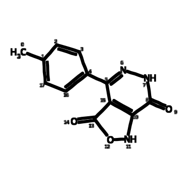 Cc1ccc(-c2n[nH]c(=O)c3[nH]oc(=O)c23)cc1